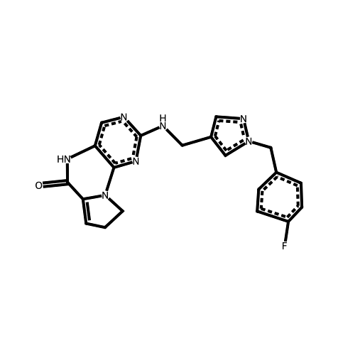 O=C1Nc2cnc(NCc3cnn(Cc4ccc(F)cc4)c3)nc2N2CCC=C12